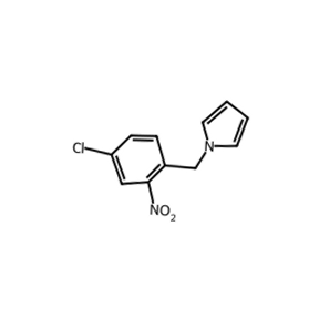 O=[N+]([O-])c1cc(Cl)ccc1Cn1cccc1